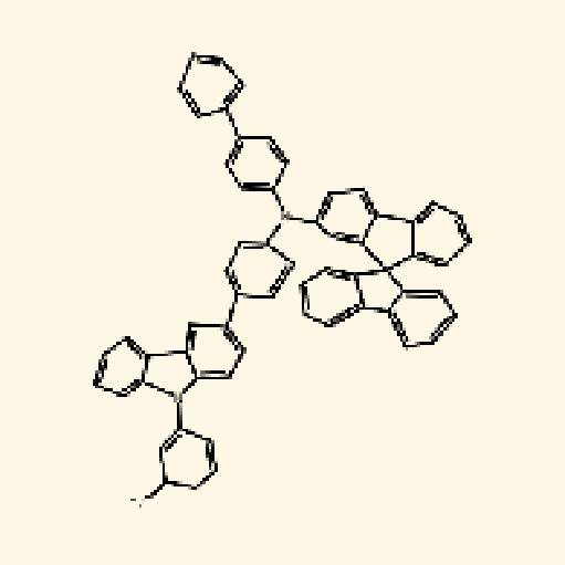 CC1C=C(n2c3ccccc3c3cc(-c4ccc(N(c5ccc(-c6ccccc6)cc5)c5ccc6c(c5)C5(c7ccccc7-c7ccccc75)c5ccccc5-6)cc4)ccc32)C=CC1